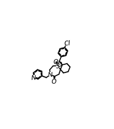 O=C1CC2(CCCCC2Cc2ccc(Cl)cc2)S(=O)(=O)CCN1Cc1cccnc1